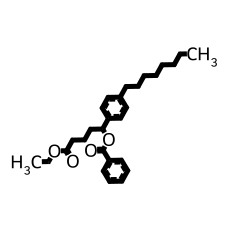 CCCCCCCCc1ccc(C(CCCC(=O)OCC)OC(=O)c2ccccc2)cc1